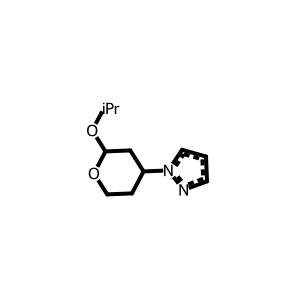 CC(C)OC1CC(n2cccn2)CCO1